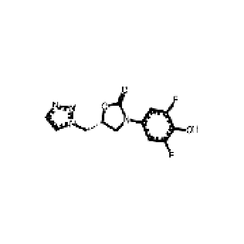 O=C1O[C@@H](Cn2ccnn2)CN1c1cc(F)c(O)c(F)c1